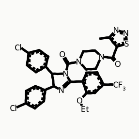 CCOc1cc(C(F)(F)F)ccc1C1=NC(c2ccc(Cl)cc2)C(c2ccc(Cl)cc2)N1C(=O)N1CCN(C(=O)c2snnc2C)CC1